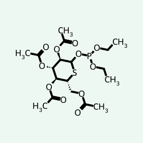 CCOP(OCC)OC1S[C@H](COC(C)=O)[C@@H](OC(C)=O)[C@H](OC(C)=O)[C@H]1OC(C)=O